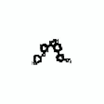 FC(F)(F)c1cccc(-c2ccc3[nH]nc(-c4cncc(O[C@@H]5CCCNC5)n4)c3c2)n1